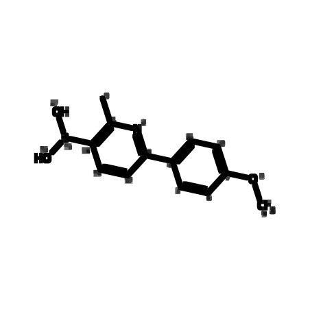 Cc1nc(-c2ccc(OC(F)(F)F)cc2)ccc1B(O)O